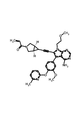 C=CC(=O)N1C[C@@H]2C(C#Cc3c(-c4ccc(Oc5cccc(C)n5)c(OC)c4)c4c(N)ncnc4n3CCOC)[C@@H]2C1